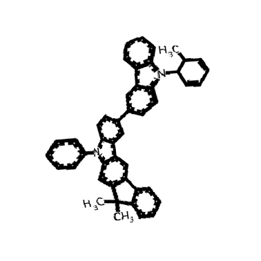 CC1C=CC=CC1n1c2ccccc2c2cc(-c3ccc4c(c3)c3cc5c(cc3n4-c3ccccc3)C(C)(C)c3ccccc3-5)ccc21